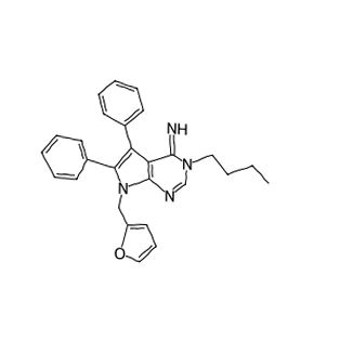 CCCCn1cnc2c(c(-c3ccccc3)c(-c3ccccc3)n2Cc2ccco2)c1=N